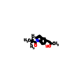 C[C@H](O)Cc1ccc2c(ccn2C(=O)C(C)(C)C)c1